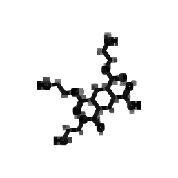 O=C(O)C1CC(C(=O)OCCO)C(C(=O)OCCO)CC1C(=O)OCCO